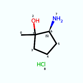 CC1(O)CCC[C@@H]1N.Cl